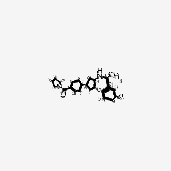 C[C@@H](N[C@H]1CC[C@@H](c2ccc(C(=O)N3CCCC3)cc2)C1)c1cccc(Cl)c1